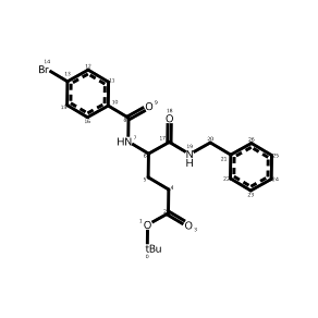 CC(C)(C)OC(=O)CCC(NC(=O)c1ccc(Br)cc1)C(=O)NCc1ccccc1